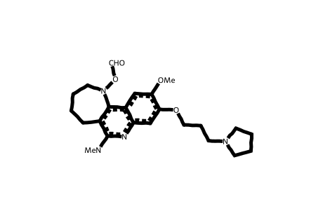 CNc1nc2cc(OCCCN3CCCC3)c(OC)cc2c2c1CCCCN2OC=O